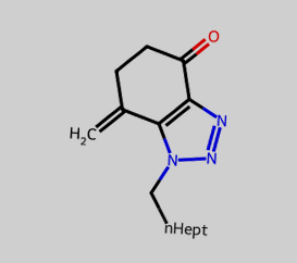 C=C1CCC(=O)c2nnn(CCCCCCCC)c21